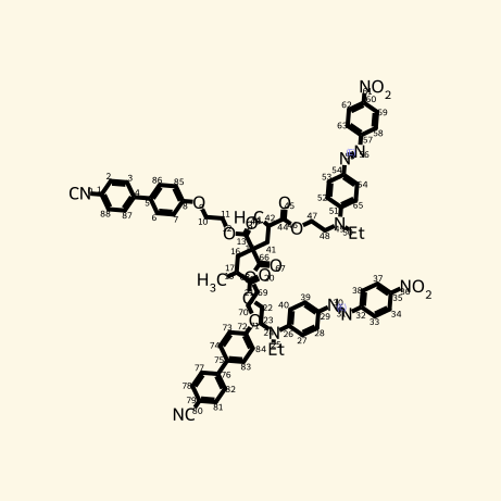 [C-]#[N+]c1ccc(-c2ccc(OCCOC(=O)C(CC(C)C(=O)OCCN(CC)c3ccc(/N=N/c4ccc([N+](=O)[O-])cc4)cc3)(CC(C)C(=O)OCCN(CC)c3ccc(/N=N/c4ccc([N+](=O)[O-])cc4)cc3)C(=O)OCCOc3ccc(-c4ccc(C#N)cc4)cc3)cc2)cc1